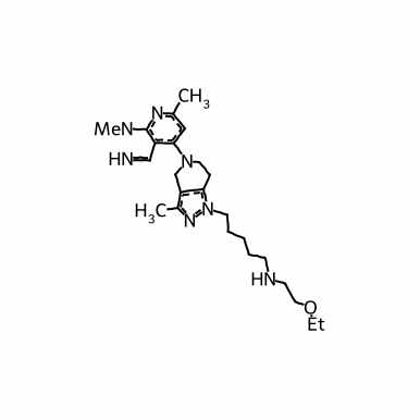 CCOCCNCCCCCn1nc(C)c2c1CCN(c1cc(C)nc(NC)c1C=N)C2